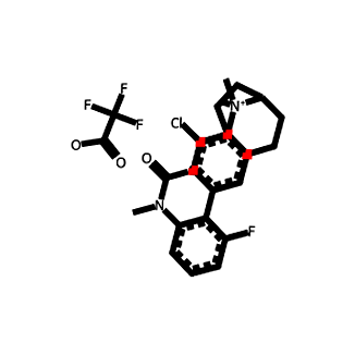 CN(C(=O)OCC12CCCC(CC1)[N+]2(C)C)c1cccc(F)c1-c1cccc(Cl)c1.O=C([O-])C(F)(F)F